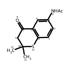 CC(=O)Nc1ccc2c(c1)C(=O)CC(C)(C)S2